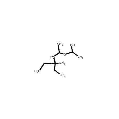 CCC(C)(CC)NC(C)OC(C)O